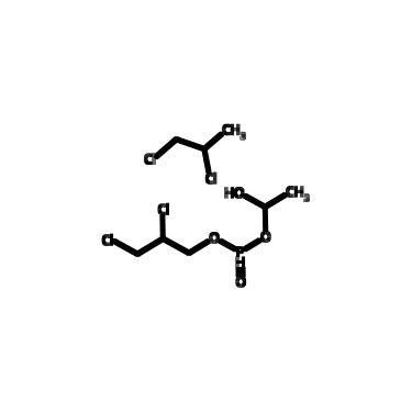 CC(Cl)CCl.CC(O)O[PH](=O)OCC(Cl)CCl